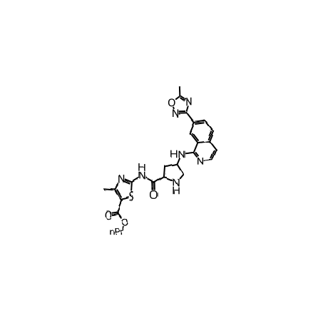 CCCOC(=O)c1sc(NC(=O)C2CC(Nc3nccc4ccc(-c5noc(C)n5)cc34)CN2)nc1C